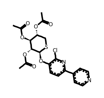 CC(=O)O[C@@H]1[C@@H](OC(C)=O)[C@H](OC(C)=O)CS[C@H]1Oc1ccc(-c2ccncc2)nc1Cl